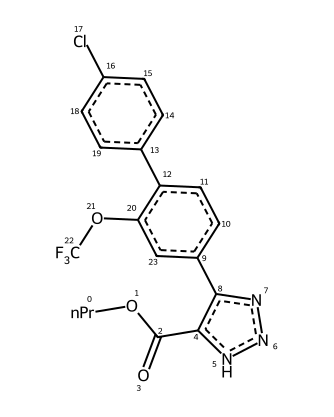 CCCOC(=O)c1[nH]nnc1-c1ccc(-c2ccc(Cl)cc2)c(OC(F)(F)F)c1